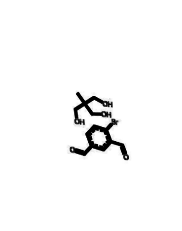 CC(CO)(CO)CO.O=Cc1ccc(Br)c(C=O)c1